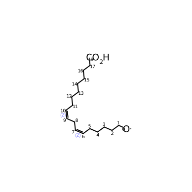 [O]CCCCC/C=C\C/C=C\CCCCCCCC(=O)O